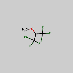 COC(C(F)(F)F)C(F)(F)Cl